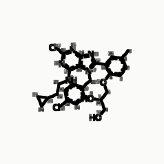 Cc1ccc(OC[C@H](O)CO)c(-c2nc3nc(Cl)nc(NCCC4CC4)c3n2Cc2ccc(Cl)cc2)c1